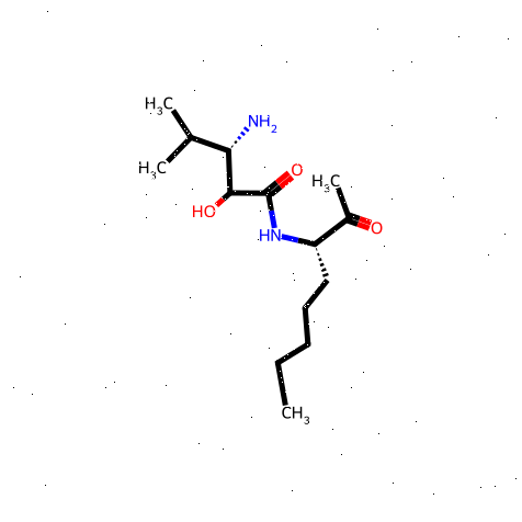 CCCCC[C@H](NC(=O)C(O)[C@@H](N)C(C)C)C(C)=O